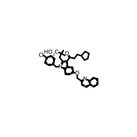 CC(C)(Cc1c(C(=O)CCC2CCCC2)c2cc(OCc3ccc4ccccc4n3)ccc2n1Cc1ccc(Cl)cc1)C(=O)O